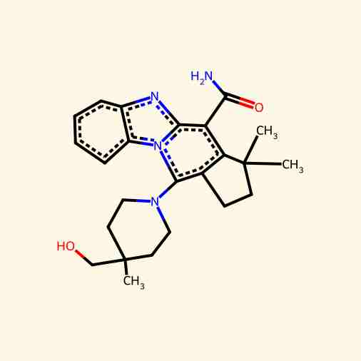 CC1(CO)CCN(c2c3c(c(C(N)=O)c4nc5ccccc5n24)C(C)(C)CC3)CC1